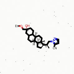 CCOC[C@@]1(O)CCC2C(CC[C@@H]3[C@@H]2CC[C@]2(C)[C@@H]([C@H](C)Cn4nccc4C#N)CC[C@@H]32)C1